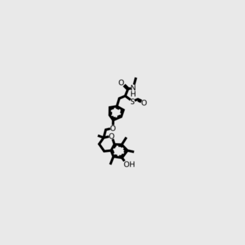 CNC(=O)C(Cc1ccc(OCC2(C)CCc3c(C)c(O)c(C)c(C)c3O2)cc1)SC=O